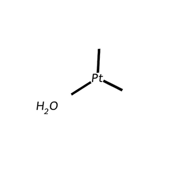 O.[CH3][Pt]([CH3])[CH3]